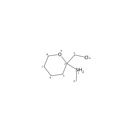 C[SiH2]C1(CCl)CCCCO1